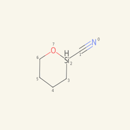 N#C[SiH]1CCCCO1